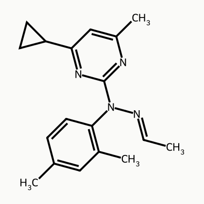 CC=NN(c1nc(C)cc(C2CC2)n1)c1ccc(C)cc1C